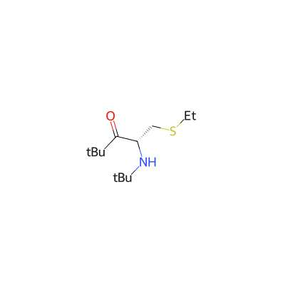 CCSC[C@H](NC(C)(C)C)C(=O)C(C)(C)C